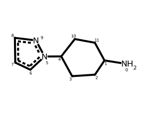 NC1CCC(n2cccn2)CC1